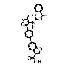 Cc1noc(-c2ccc(-c3ccc4c(C(=O)O)coc4c3)cc2)c1NC(=O)OC(C)c1ccccc1